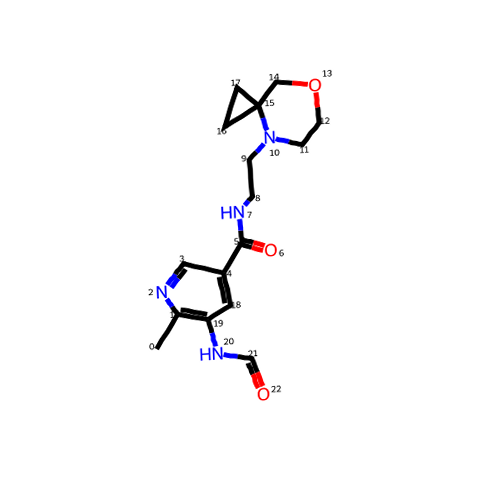 Cc1ncc(C(=O)NCCN2CCOCC23CC3)cc1NC=O